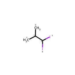 C[C](C)C(I)I